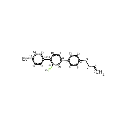 C=CCCc1ccc(-c2ccc(-c3ccc(CC)cc3)c(F)c2)cc1